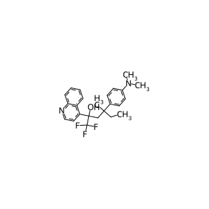 CCC(C)(CC(O)(c1ccnc2ccccc12)C(F)(F)F)c1ccc(N(C)C)cc1